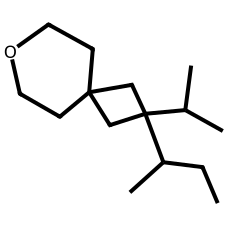 CCC(C)C1(C(C)C)CC2(CCOCC2)C1